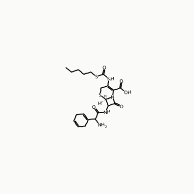 CCCCCSC(=O)NC1=C(C(=O)O)N2C(=O)C(NC(=O)C(N)C3=CCC=CC3)[C@H]2SC1